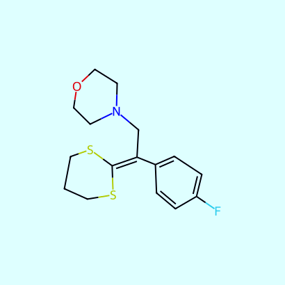 Fc1ccc(C(CN2CCOCC2)=C2SCCCS2)cc1